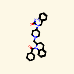 NC(=O)N(Cc1ccccc1)C1CCN(CC2CCc3ccccc3N2C(=O)C2CCCCC2)CC1